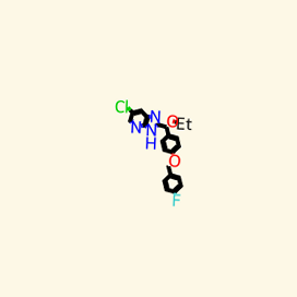 CCOC(c1ccc(OCc2ccc(F)cc2)cc1)c1nc2cc(Cl)cnc2[nH]1